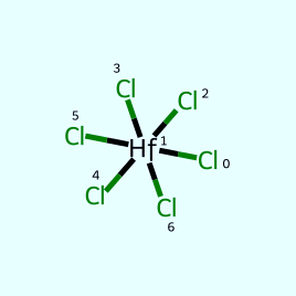 [Cl][Hf]([Cl])([Cl])([Cl])([Cl])[Cl]